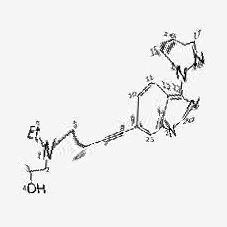 CCN(CCO)CCC#Cc1ccc2c(-n3cccn3)ncnc2c1